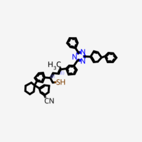 C/C(=C\C=C(/CS)c1cccc(C2(C3=CCCC(C#N)=C3)CCCCC2)c1)c1cccc(-c2nc(C3=CCC(c4ccccc4)C=C3)nc(-c3ccccc3)n2)c1